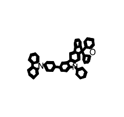 C1=CCCC(n2c3ccc(-c4ccc(-n5c6ccccc6c6ccccc65)cc4)cc3c3cc4c(cc32)C2(c3ccccc3Oc3ccccc32)c2ccccc2-4)=C1